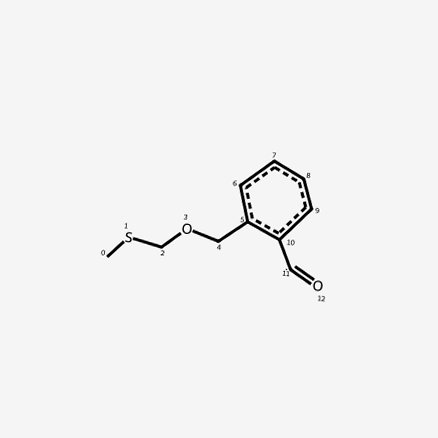 CSCOCc1ccccc1[C]=O